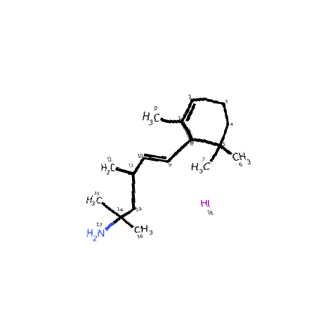 CC1=CCCC(C)(C)C1C=CC(C)CC(C)(C)N.I